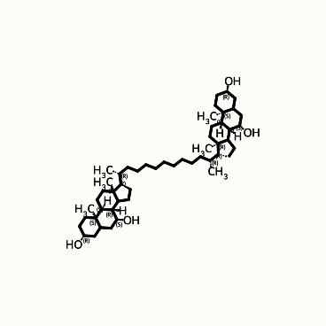 C[C@H](CCCCCCCCC[C@@H](C)[C@H]1CCC2[C@@H]3[C@@H](O)CC4C[C@H](O)CC[C@]4(C)[C@H]3CC[C@@]21C)[C@H]1CCC2[C@@H]3[C@@H](O)CC4C[C@H](O)CC[C@]4(C)[C@H]3CC[C@@]21C